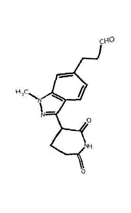 Cn1nc(C2CCC(=O)NC2=O)c2ccc(CCC=O)cc21